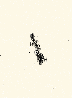 CC(OC(=O)Nc1cccc(OC(F)(F)F)c1)c1ccc2c(c1)C(=O)N(C1CCC(=O)NC1=O)C2